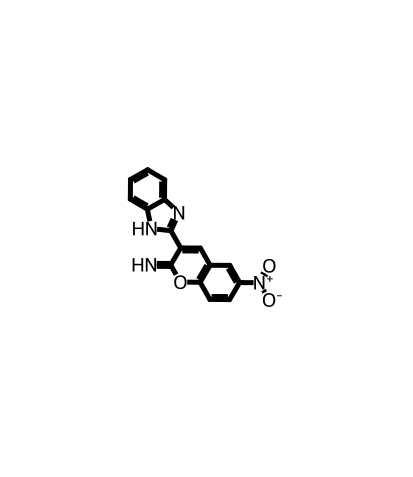 N=c1oc2ccc([N+](=O)[O-])cc2cc1-c1nc2ccccc2[nH]1